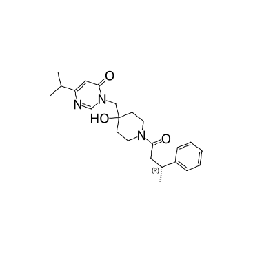 CC(C)c1cc(=O)n(CC2(O)CCN(C(=O)C[C@@H](C)c3ccccc3)CC2)cn1